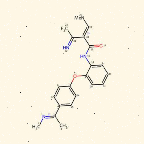 C/N=C(\C)c1ccc(Oc2ccccc2NC(=O)/C(=C/NC)C(=N)C(F)(F)F)cc1